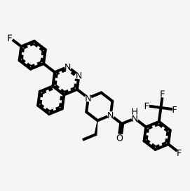 CC[C@H]1CN(c2nnc(-c3ccc(F)cc3)c3ccccc23)CCN1C(=O)Nc1ccc(F)cc1C(F)(F)F